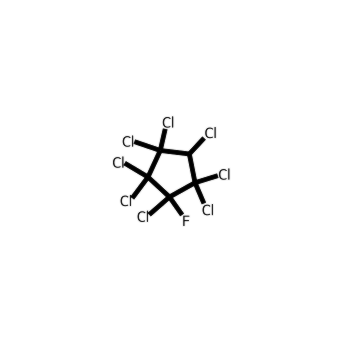 FC1(Cl)C(Cl)(Cl)C(Cl)C(Cl)(Cl)C1(Cl)Cl